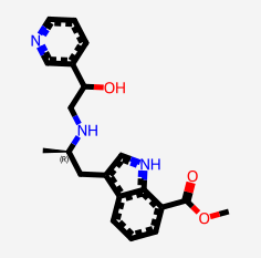 COC(=O)c1cccc2c(C[C@@H](C)NCC(O)c3cccnc3)c[nH]c12